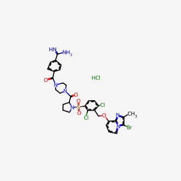 Cc1nc2c(OCc3c(Cl)ccc(S(=O)(=O)N4CCCC4C(=O)N4CCN(C(=O)c5ccc(C(=N)N)cc5)CC4)c3Cl)cccn2c1Br.Cl